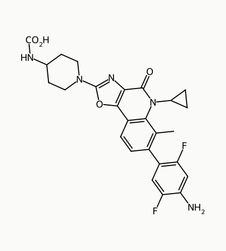 Cc1c(-c2cc(F)c(N)cc2F)ccc2c3oc(N4CCC(NC(=O)O)CC4)nc3c(=O)n(C3CC3)c12